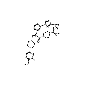 COc1ccc([C@H]2CC[C@H](CN(c3cc(-c4coc(C5CC5)n4)ccn3)C(=O)[C@H]3CC[C@H](C(=O)OC)CC3)CC2)nc1C